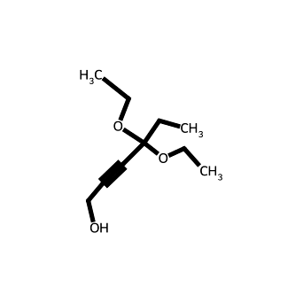 CCOC(C#CCO)(CC)OCC